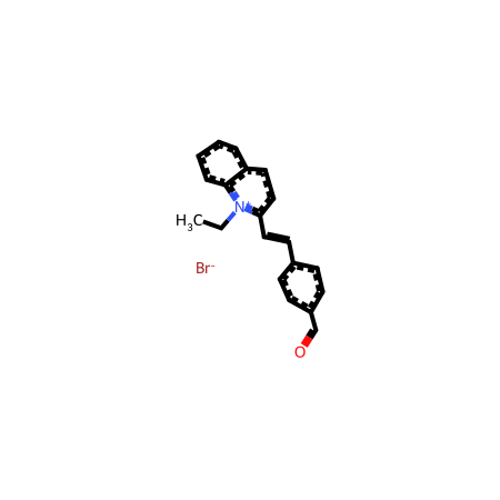 CC[n+]1c(/C=C/c2ccc(C=O)cc2)ccc2ccccc21.[Br-]